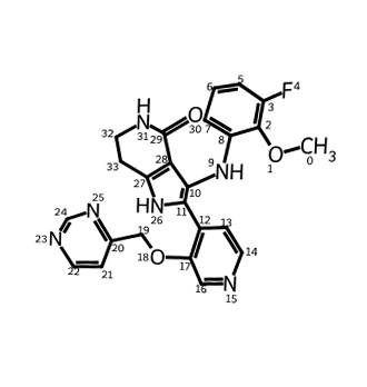 COc1c(F)cccc1Nc1c(-c2ccncc2OCc2ccncn2)[nH]c2c1C(=O)NCC2